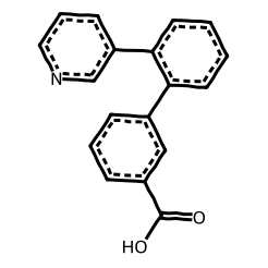 O=C(O)c1cccc(-c2ccccc2-c2cccnc2)c1